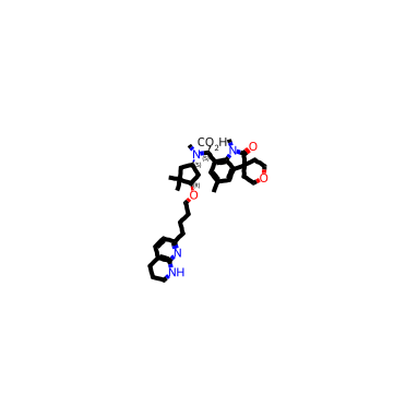 Cc1cc([C@@H](C(=O)O)N(C)[C@@H]2C[C@@H](OCCCCc3ccc4c(n3)NCCC4)C(C)(C)C2)c2c(c1)C1(CCOCC1)C(=O)N2C